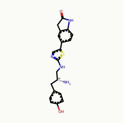 N[C@@H](CNc1ncc(-c2ccc3c(c2)CC(=O)N3)s1)Cc1ccc(O)cc1